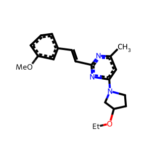 CCOC1CCN(c2cc(C)nc(C=Cc3cccc(OC)c3)n2)C1